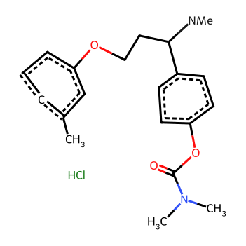 CNC(CCOc1cccc(C)c1)c1ccc(OC(=O)N(C)C)cc1.Cl